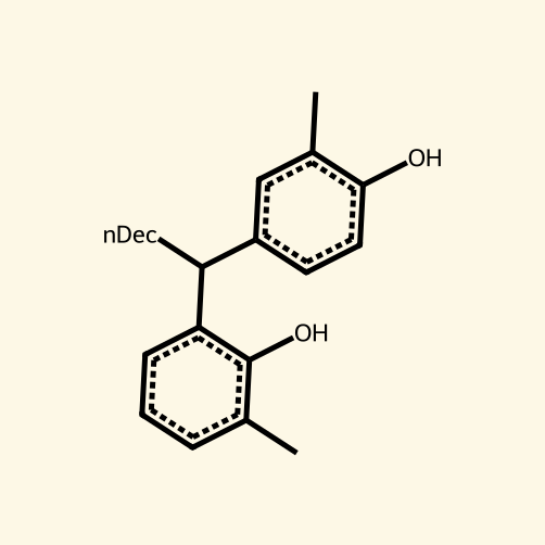 CCCCCCCCCCC(c1ccc(O)c(C)c1)c1cccc(C)c1O